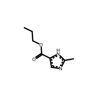 CCCOC(=O)c1[c]nc(C)[nH]1